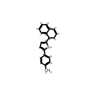 Cc1ccc(-c2ccc(C3CC=Cc4ccccc43)s2)cc1